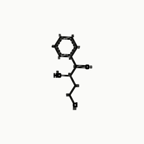 O=C(c1ccccc1)C(O)CCCl